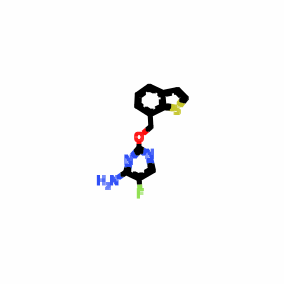 Nc1nc(OCc2cccc3ccsc23)ncc1F